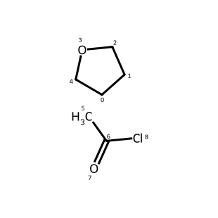 C1CCOC1.CC(=O)Cl